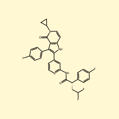 O=C(Nc1cc(-c2[nH]c3ccn(C4CC4)c(=O)c3c2-c2ccc(F)cc2)ccn1)[C@@H](CC(F)F)c1ccc(F)cc1